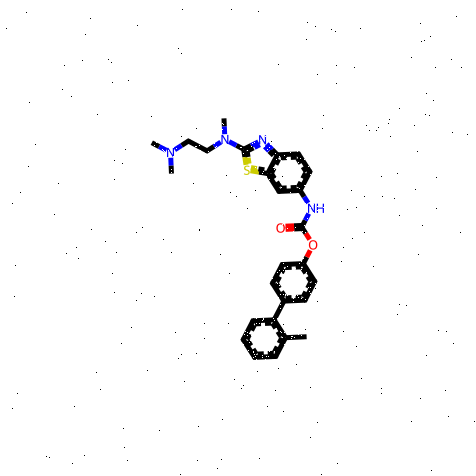 Cc1ccccc1-c1ccc(OC(=O)Nc2ccc3nc(N(C)CCN(C)C)sc3c2)cc1